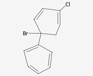 ClC1=CCC(Br)(c2ccccc2)C=C1